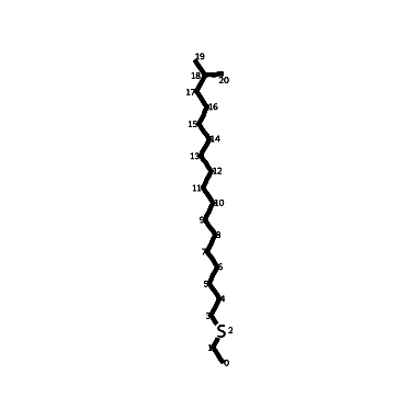 CCSCCCCCCCCCCCCCCCC(C)C